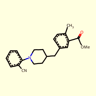 COC(=O)c1cc(CC2CCN(c3ccccc3C#N)CC2)ccc1C